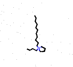 CCCCCCCCCCC[N+]1(CCCC)CCCC1